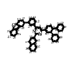 c1ccc(-c2ccc(-c3cc(-c4cccc(-c5ccc6oc7ccccc7c6c5)c4)nc(-c4ccc5ccccc5c4)n3)cc2-c2ccccc2)cc1